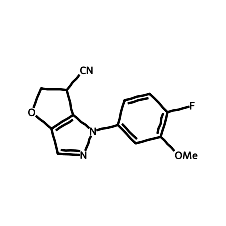 COc1cc(-n2ncc3c2C(C#N)CO3)ccc1F